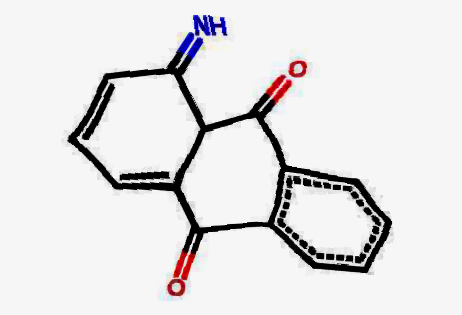 N=C1C=CC=C2C(=O)c3ccccc3C(=O)C12